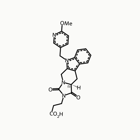 COc1ccc(Cn2c3c(c4ccccc42)C[C@H]2C(=O)N(CCC(=O)O)C(=O)N2C3)cn1